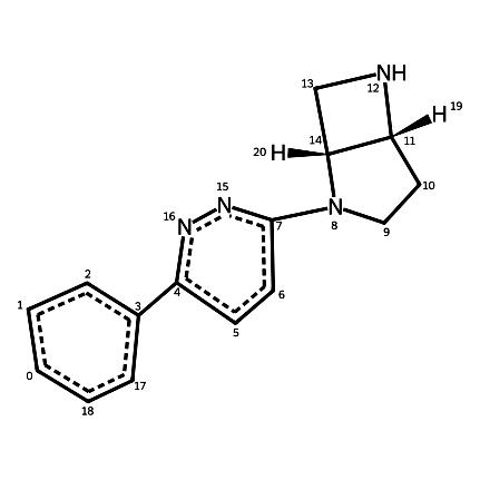 c1ccc(-c2ccc(N3CC[C@H]4NC[C@H]43)nn2)cc1